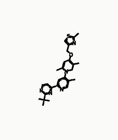 CC1=CC(OCc2csc(C)n2)=C(C)CN1c1cc(-c2ccnc(C(C)(C)C)n2)ncc1C